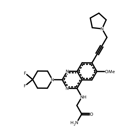 COc1cc2c(NCC(N)=O)nc(N3CCC(F)(F)CC3)nc2cc1C#CCN1CCCC1